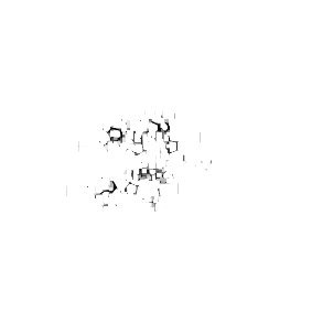 COCC[C@H]1[C@@H](O)[C@H](n2c[n+](C)c3c(=O)[nH]c(N)nc32)O[C@@H]1COP(=O)(O)OP(=O)(O)CCP(=O)(O)OC[C@H]1O[C@@H](n2cnc3c(N)ncnc32)[C@H](OC)[C@@H]1OP(=O)(O)OC[C@H]1O[C@@H](n2cnc3c(=O)[nH]c(N)nc32)[C@H](O)[C@@H]1O